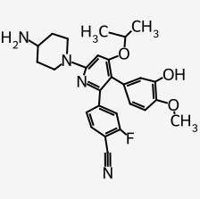 COc1ccc(-c2c(OC(C)C)cc(N3CCC(N)CC3)nc2-c2ccc(C#N)c(F)c2)cc1O